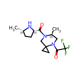 C[C@H]1CC[C@@H](C(=O)N2CC3(CC3)N(C(=O)C(F)(F)F)C[C@@H]2C)N1